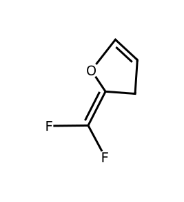 FC(F)=C1CC=CO1